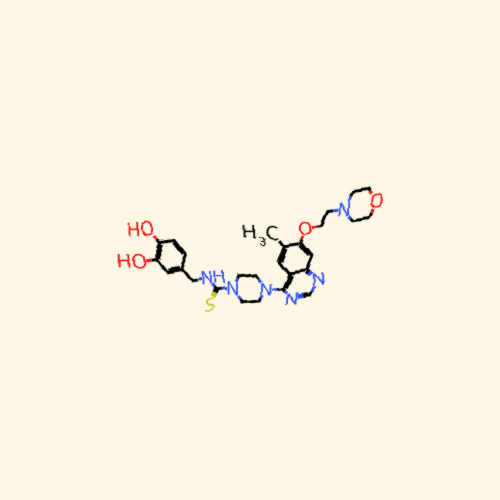 Cc1cc2c(N3CCN(C(=S)NCc4ccc(O)c(O)c4)CC3)ncnc2cc1OCCN1CCOCC1